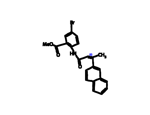 COC(=O)c1cc(Br)ccc1NC(=O)/C=C(/C)c1ccc2ccccc2c1